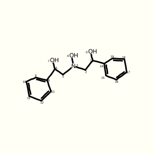 OC(CN(O)CC(O)c1ccccc1)c1ccccc1